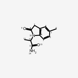 Cc1ccc2c(c1)CC(=O)N2C(C)C(N)=O